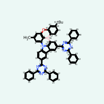 Cc1cc2c3c(c1)-n1c4ccc(-c5nc(-c6ccccc6)nc(-c6ccccc6)n5)cc4c4cc(-c5nc(-c6ccccc6)nc(-c6ccccc6)n5)cc(c41)B3c1ccc(C(C)(C)C)cc1O2